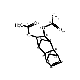 CC(=O)OC1C2CC(C1OC(C)=O)C1C3C=CC(C3)C21